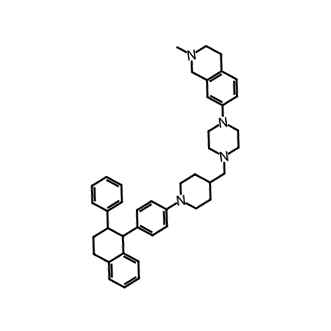 CN1CCc2ccc(N3CCN(CC4CCN(c5ccc(C6c7ccccc7CCC6c6ccccc6)cc5)CC4)CC3)cc2C1